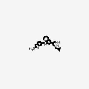 N=C/C(=C\NCC1CC1)c1cc2c3c(c1)nc(-c1ccc4c(c1)N=C(N)C4)n3CCCC2